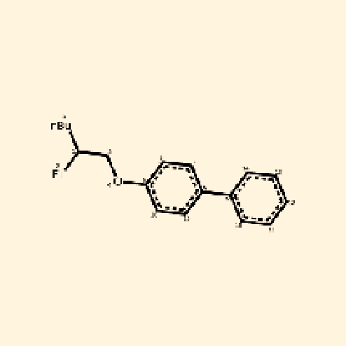 CCCCC(CC)COc1[c]cc(-c2ccccc2)[c]c1